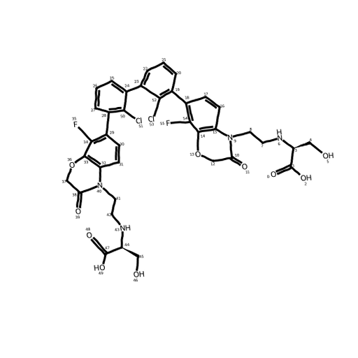 O=C(O)[C@H](CO)NCCN1C(=O)COc2c1ccc(-c1cccc(-c3cccc(-c4ccc5c(c4F)OCC(=O)N5CCN[C@@H](CO)C(=O)O)c3Cl)c1Cl)c2F